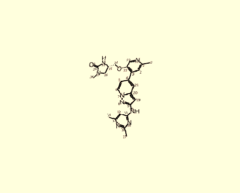 Cc1cc(-c2ccn3nc(Nc4cc(C)nc(C)n4)cc3c2)c(OC[C@@H]2CN(C)C(=O)N2)cn1